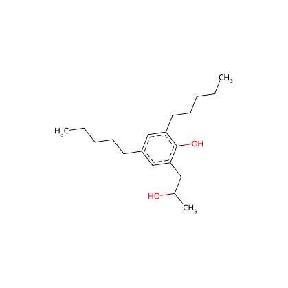 CCCCCc1cc(CCCCC)c(O)c(CC(C)O)c1